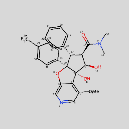 COc1cncc2c1[C@]1(O)[C@H](O)[C@H](C(=O)N(C)C)[C@@H](c3ccccc3)[C@]1(c1ccc(C(F)(F)F)cc1)O2